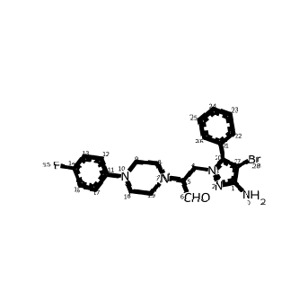 Nc1nn(CC(C=O)N2CCN(c3ccc(F)cc3)CC2)c(-c2ccccc2)c1Br